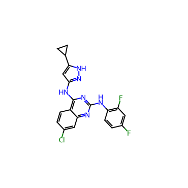 Fc1ccc(Nc2nc(Nc3cc(C4CC4)[nH]n3)c3ccc(Cl)cc3n2)c(F)c1